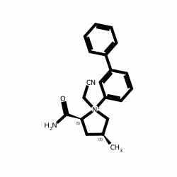 C[C@H]1C[C@@H](C(N)=O)[N+](CC#N)(c2cccc(-c3ccccc3)c2)C1